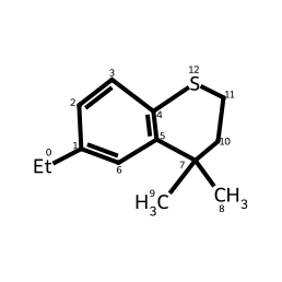 CCc1ccc2c(c1)C(C)(C)CCS2